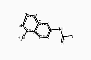 CC(=O)Nc1ccc2c(N)nccc2c1